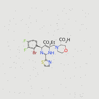 CCOC(=O)C1=C(CN2CCOC[C@H]2C(=O)O)NC(c2nccs2)=N[C@H]1c1ccc(F)c(F)c1Br